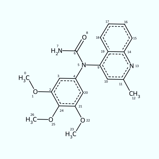 COc1cc(N(C(N)=O)c2cc(C)nc3ccccc23)cc(OC)c1OC